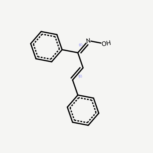 O/N=C(\C=C\c1ccccc1)c1ccccc1